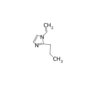 C=Cn1ccnc1CCC